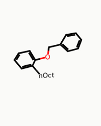 CCCCCCCCc1ccccc1OCc1ccccc1